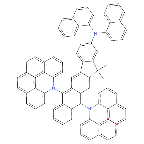 CC1(C)c2cc(N(c3cccc4ccccc34)c3cccc4ccccc34)ccc2-c2cc3c(N(c4cccc5ccccc45)c4cccc5ccccc45)c4ccccc4c(N(c4cccc5ccccc45)c4cccc5ccccc45)c3cc21